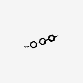 CCC[C@H]1CC[C@H](C2CC=C(c3ccc(Cl)cc3)CC2)CC1